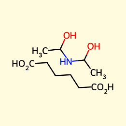 CC(O)NC(C)O.O=C(O)CCCCC(=O)O